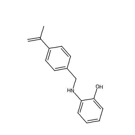 C=C(C)c1ccc(CNc2ccccc2O)cc1